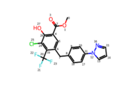 COC(=O)c1cc(Cc2ccc(-n3cccn3)cc2)c(C(F)(F)F)c(Cl)c1O